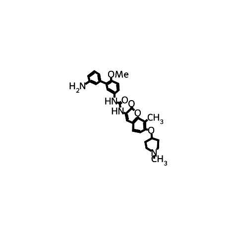 COc1ccc(NC(=O)Nc2cc3ccc(OC4CCN(C)CC4)c(C)c3oc2=O)cc1-c1cccc(N)c1